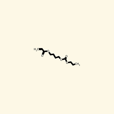 C=CC(=O)OCCCCOC(=O)OCCC